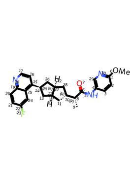 COc1ccc(NC(=O)[C@H](C)[C@@H]2C[C@H]3C[C@@H](c4ccnc5ccc(F)cc45)C[C@H]3C2)cn1